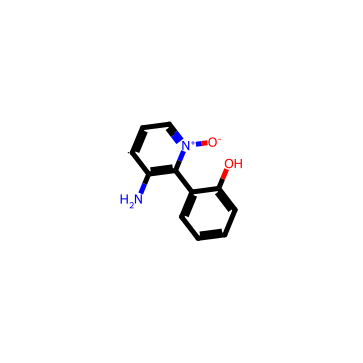 Nc1[c]cc[n+]([O-])c1-c1ccccc1O